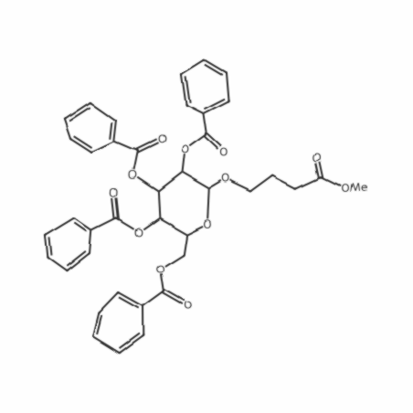 COC(=O)CCCOC1OC(COC(=O)c2ccccc2)C(OC(=O)c2ccccc2)C(OC(=O)c2ccccc2)C1OC(=O)c1ccccc1